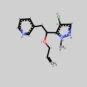 C=CCOC(Cc1cccnc1)c1c(Cl)cnn1C